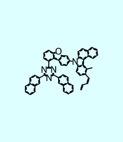 C=C/C=C\c1ccc2c(c1C)c1c3ccccc3ccc1n2-c1ccc2c(c1)oc1cccc(-c3nc(-c4ccc5ccccc5c4)nc(-c4ccc5ccccc5c4)n3)c12